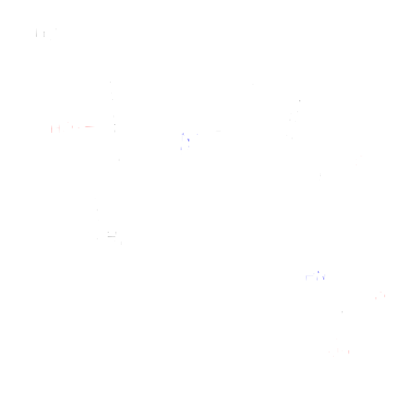 CCCC(O)(CCC)CNc1cccc(C(=O)CCNC(=O)O)c1